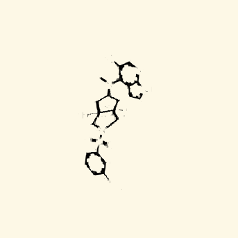 CN(c1c(C#N)cnc2[nH]ccc12)C1C[C@@H]2CN(S(=O)(=O)c3cccc(C(F)(F)F)c3)C[C@@H]2C1